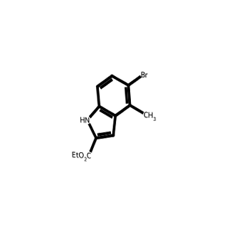 CCOC(=O)c1cc2c(C)c(Br)ccc2[nH]1